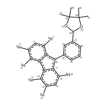 [2H]c1cc([2H])c2c(c1[2H])c1c([2H])c([2H])cc([2H])c1n2-c1cccc(B2OC(C)(C)C(C)(C)O2)c1